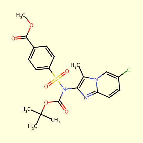 COC(=O)c1ccc(S(=O)(=O)N(C(=O)OC(C)(C)C)c2nc3ccc(Cl)cn3c2C)cc1